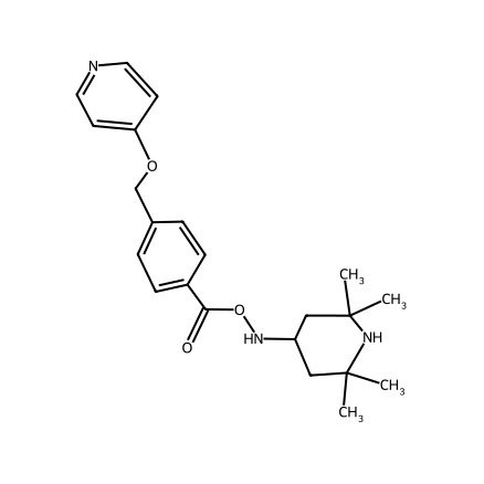 CC1(C)CC(NOC(=O)c2ccc(COc3ccncc3)cc2)CC(C)(C)N1